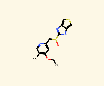 Cc1cnc(C[S+]([O-])c2nc3cscc3[nH]2)cc1OCC(F)(F)F